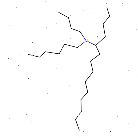 CCCCCCCCCC(CCCC)N(CCCC)CCCCCC